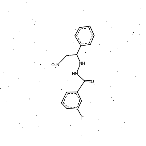 O=C(NNC(C[N+](=O)[O-])c1ccccc1)c1cccc(F)c1